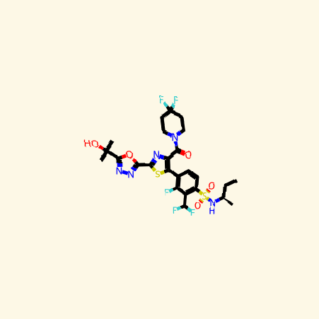 CC[C@@H](C)NS(=O)(=O)c1ccc(-c2sc(-c3nnc(C(C)(C)O)o3)nc2C(=O)N2CCC(F)(F)CC2)c(F)c1C(F)F